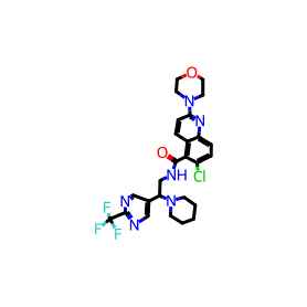 O=C(NCC(c1cnc(C(F)(F)F)nc1)N1CCCCC1)c1c(Cl)ccc2nc(N3CCOCC3)ccc12